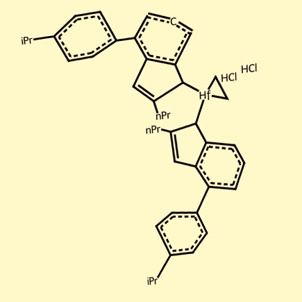 CCCC1=Cc2c(-c3ccc(C(C)C)cc3)cccc2[CH]1[Hf]1([CH]2C(CCC)=Cc3c(-c4ccc(C(C)C)cc4)cccc32)[CH2][CH2]1.Cl.Cl